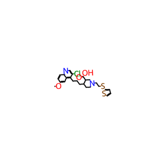 COc1ccc2ncc(Cl)c(CCCC3CCN(CCSc4cccs4)CC3C(=O)O)c2c1